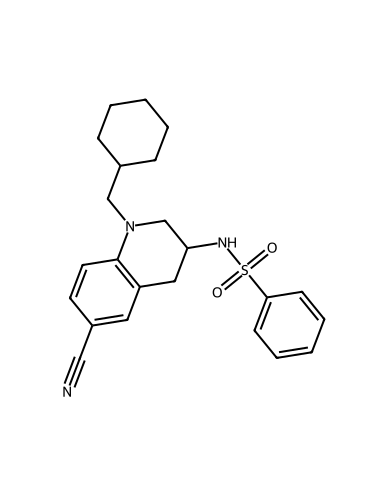 N#Cc1ccc2c(c1)CC(NS(=O)(=O)c1ccccc1)CN2CC1CCCCC1